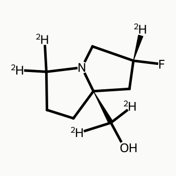 [2H]C1([2H])CC[C@@]2(C([2H])([2H])O)C[C@@]([2H])(F)CN12